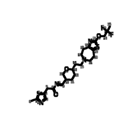 Cc1ncc(CC(=O)/N=C/C2CC[C@H](CCN3CCc4nc(OCC(C)(F)F)sc4CC3)OC2)s1